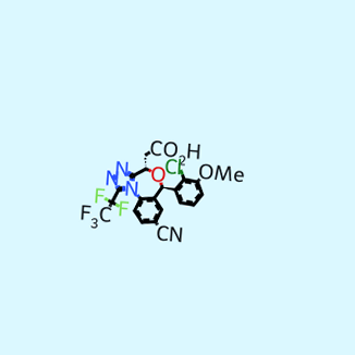 COc1cccc([C@@H]2O[C@@H](CC(=O)O)c3nnc(C(F)(F)C(F)(F)F)n3-c3ccc(C#N)cc32)c1Cl